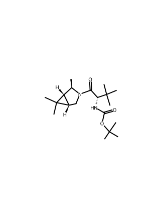 C[C@@H]1[C@@H]2[C@H](CN1C(=O)[C@@H](NC(=O)OC(C)(C)C)C(C)(C)C)C2(C)C